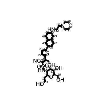 C/C(=C(/C#N)S(=O)(=O)N[C@H]1C(CCO)O[C@H](CO)[C@@H](O)[C@@H]1O)c1ccc(-c2ccc3cc(NCCN4CCOCC4)ccc3c2)s1